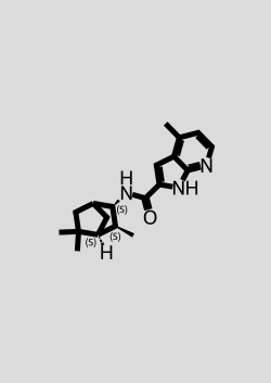 Cc1ccnc2[nH]c(C(=O)N[C@H]3C4C[C@@H]([C@@H]3C)C(C)(C)C4)cc12